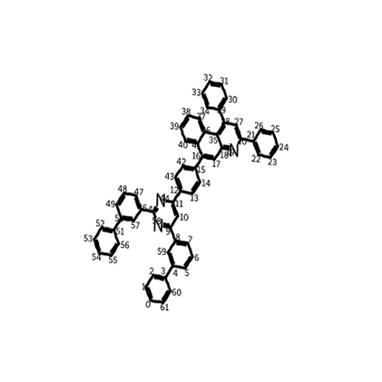 c1ccc(-c2cccc(-c3cc(-c4ccc(-c5cc6nc(-c7ccccc7)cc(-c7ccccc7)c6c6ccccc56)cc4)nc(-c4cccc(-c5ccccc5)c4)n3)c2)cc1